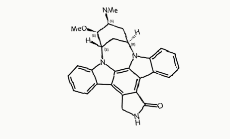 CN[C@H]1C[C@@H]2C[C@@H]([C@H]1OC)n1c3ccccc3c3c4c(c5c6ccccc6n2c5c31)C(=O)NC4